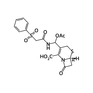 CC(=O)OC(NC(=O)CS(=O)(=O)c1ccccc1)C1=C(C(=O)O)N2C(=O)C[C@H]2SC1